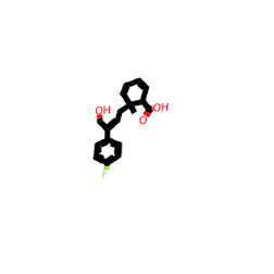 CC1(C/C=C(\CO)c2ccc(F)cc2)C=CC=CC1C(=O)O